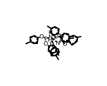 Cc1ccc(OP(N[PH](N=[PH](Oc2ccc(C)cc2)Oc2ccc(C)cc2)(Oc2ccc(C)cc2)Oc2ccc(C)cc2)Oc2ccc(C)cc2)cc1